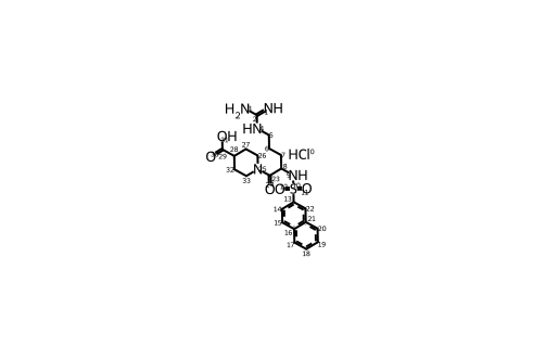 Cl.N=C(N)NCCCC(NS(=O)(=O)c1ccc2ccccc2c1)C(=O)N1CCC(C(=O)O)CC1